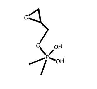 CP(C)(O)(O)OCC1CO1